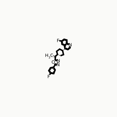 C[C@@H](c1nnc(-c2ccc(F)cc2)o1)[C@H]1CC[C@@H](c2ccnc3ccc(F)cc32)CC1